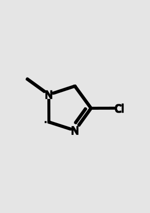 CN1[CH]N=C(Cl)C1